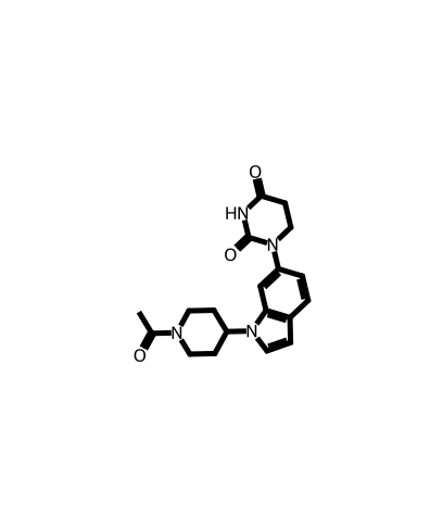 CC(=O)N1CCC(n2ccc3ccc(N4CCC(=O)NC4=O)cc32)CC1